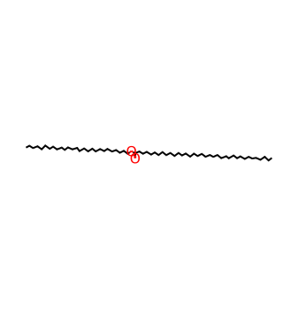 CCCCCCCCCCCCCCCCCCCCCCCCCCCCCCCCCCCC(=O)OCCCCCCCCCCCCCCCCCCCCCCCCCCC